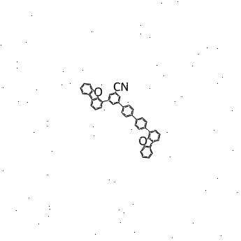 N#Cc1cc(-c2ccc(-c3ccc(-c4cccc5c4oc4ccccc45)cc3)cc2)cc(-c2cccc3c2oc2ccccc23)c1